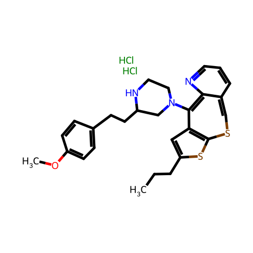 CCCc1cc2c(s1)SC=c1cccnc1=C2N1CCNC(CCc2ccc(OC)cc2)C1.Cl.Cl